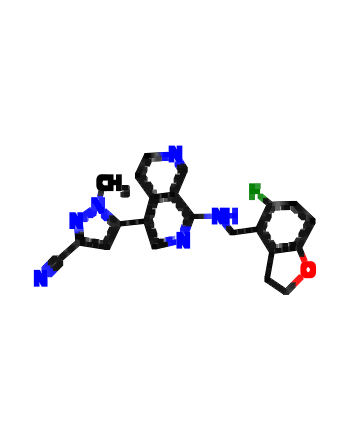 Cn1nc(C#N)cc1-c1cnc(NCc2c(F)ccc3c2CCO3)c2cnccc12